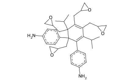 CC(C)C1=C(c2ccc(N)cc2)C(CC2CO2)(c2ccc(N)cc2)C(CC2CO2)(C(C)C)C(CC2CO2)=C1CC1CO1